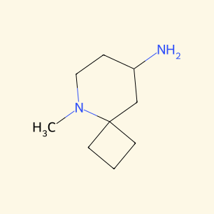 CN1CCC(N)CC12CCC2